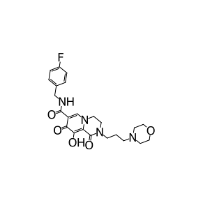 O=C(NCc1ccc(F)cc1)c1cn2c(c(O)c1=O)C(=O)N(CCCN1CCOCC1)CC2